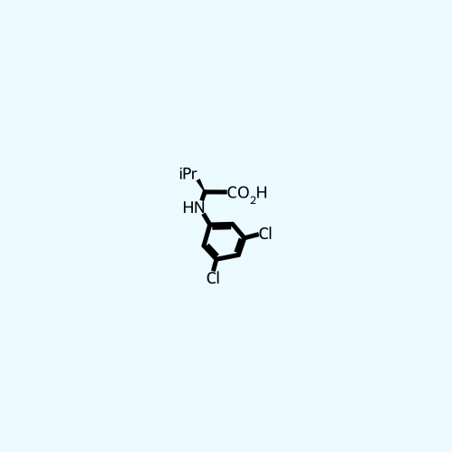 CC(C)[C@H](Nc1cc(Cl)cc(Cl)c1)C(=O)O